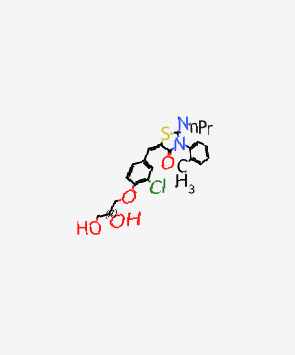 CCCN=C1SC(=Cc2ccc(OC[C@H](O)CO)c(Cl)c2)C(=O)N1c1ccccc1C